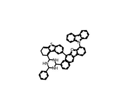 C1=c2sc3ccc(-c4cccc5c4oc4c(-n6c7ccccc7c7ccccc76)cccc45)cc3c2=C(C2NC(c3ccccc3)NC(c3ccccc3)N2)CC1